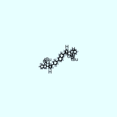 CC(C)(C)OC(=O)N1C(c2nc(-c3ccc(-c4ccc5cc(-c6c[nH]c([C@@H]7C[C@@H]8CCC[C@@H]8N7C(=O)OC(C)(C)C)n6)ccc5c4)cc3)c[nH]2)CC2CCCC21